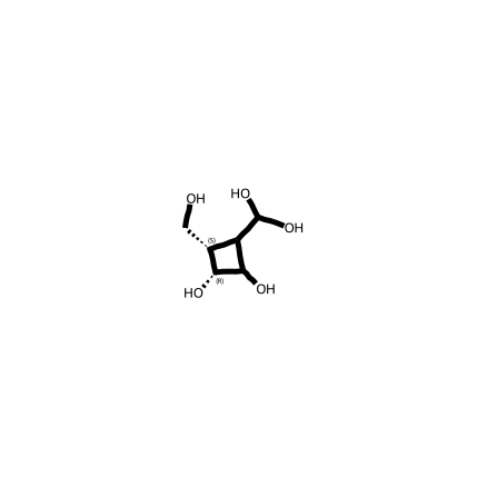 OC[C@@H]1C(C(O)O)C(O)[C@@H]1O